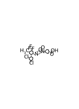 Cc1cc(-c2ccc(Cl)cc2Cl)c(CN2CCC3(CC2)CN(c2ccc(C(=O)O)cc2)C(=O)O3)cc1C(F)(F)F